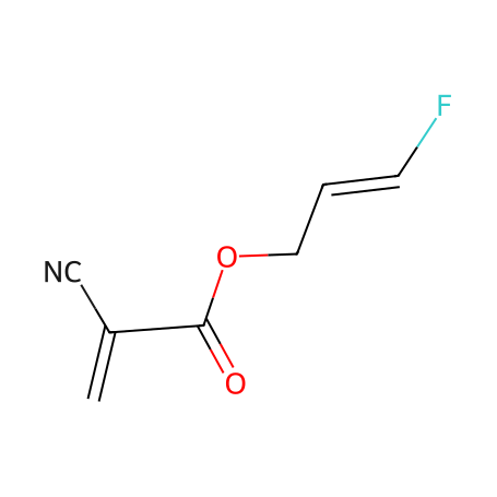 C=C(C#N)C(=O)OCC=CF